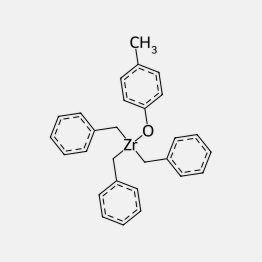 Cc1ccc([O][Zr]([CH2]c2ccccc2)([CH2]c2ccccc2)[CH2]c2ccccc2)cc1